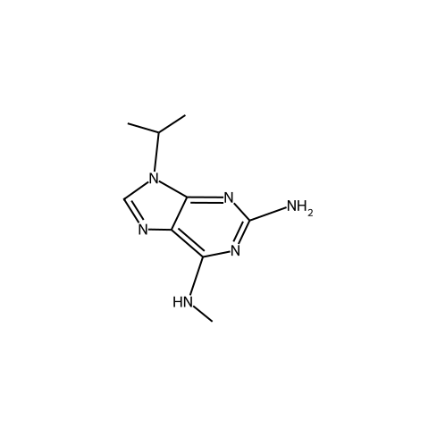 CNc1nc(N)nc2c1ncn2C(C)C